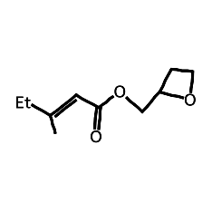 CCC(C)=CC(=O)OCC1CCO1